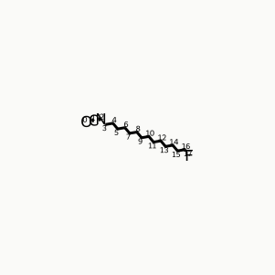 O=C=NCCCCCCCCCCCCCCF